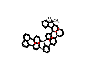 CC1(C)c2ccccc2-c2c(-c3ccc(N(c4ccc(-c5cccc6cccc(-c7ccc(F)cc7)c56)cc4)c4ccccc4-c4ccc(-c5ccccc5)cc4)cc3)cccc21